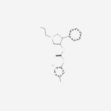 COCCN1CC(NC(=O)Nc2cc(C(C)(C)C)nn2C)C(c2ccccc2)C1